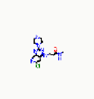 CNC(=O)CCNc1nc(N2CCN(I)CC2)nc2cnc(Cl)cc12